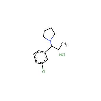 CCC(c1cccc(Cl)c1)N1CCCC1.Cl